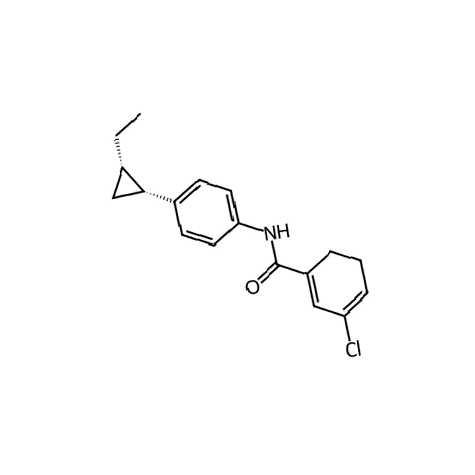 CC[C@H]1C[C@H]1c1ccc(NC(=O)C2=CC(Cl)=CCC2)cc1